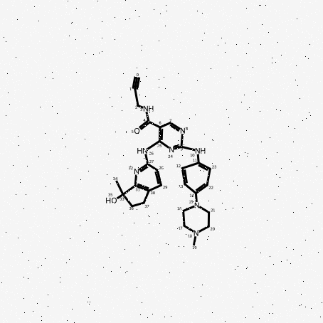 C#CCNC(=O)c1cnc(Nc2ccc(N3CCN(C)CC3)cc2)nc1Nc1ccc2c(n1)C(C)(O)CC2